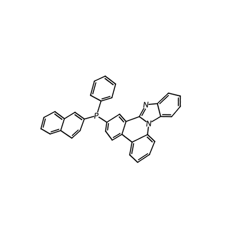 c1ccc(P(c2ccc3ccccc3c2)c2ccc3c4ccccc4n4c5ccccc5nc4c3c2)cc1